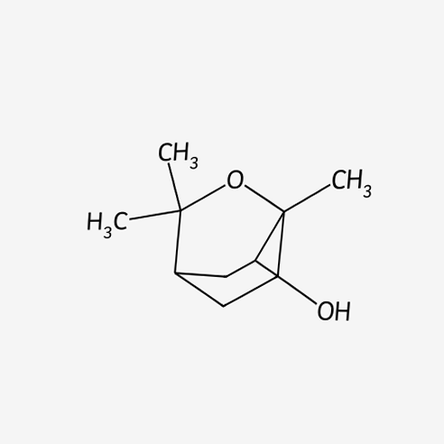 CC1(C)OC2(C)CCC1CC2O